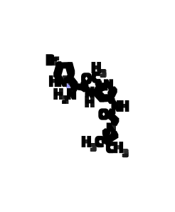 Cc1ncc(NC(=O)CN2CC(C)(C)C2)cc1NC(=O)/C(N)=C1\C=CC(Br)=CN1